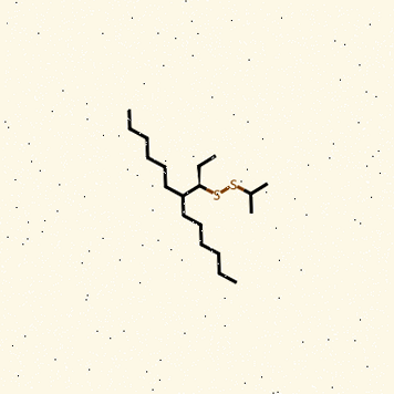 CCCCCCC(CCCCCC)[C@@H](CC)SSC(C)C